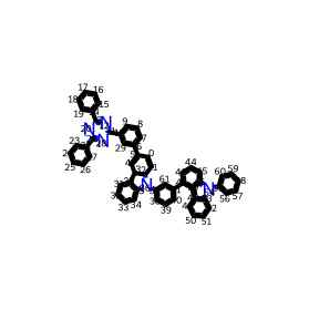 C1=CC2C(C=C1c1cccc(-c3nc(-c4ccccc4)nc(-c4ccccc4)n3)c1)c1ccccc1N2c1cccc(-c2cccc3c2c2ccccc2n3-c2ccccc2)c1